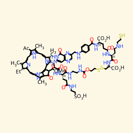 CC[C@H]1c2cc3[nH]c4c(c3C)C(=O)C(C(=O)OC)c4c3nc(cc4[nH]c(cc(n2)[C@@H]1C)c(C(C)=O)c4C)[C@@H](C)[C@@H]3CCC(=O)N[C@@H](CCC(=O)NCCS(=O)(=O)O)C(=O)NCCNC(=O)OCCSSC[C@H](NC(=O)[C@H](CC(=O)NCCS)NC(=O)CC[C@H](NC(=O)c1ccc(NCc2cnc3cc(N)[nH]c(=O)c3n2)cc1)C(=O)O)C(=O)O